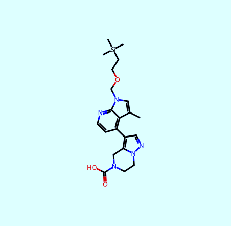 Cc1cn(COCC[Si](C)(C)C)c2nccc(-c3cnn4c3CN(C(=O)O)CC4)c12